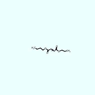 CCCCOC(=O)/N=N/C(=O)OCCC